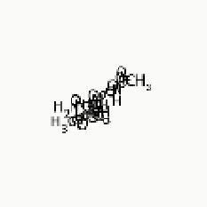 CCOC(=O)N1CCC(C(NC(=O)OCc2ccccc2)C(=O)N[C@@H](CCCNC(N)=O)C(=O)Nc2ccc(COC(=O)Nc3ccc4c(C)cc(=O)oc4c3)cc2)CC1